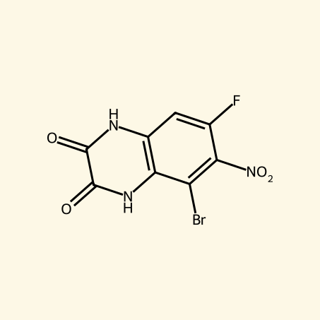 O=c1[nH]c2cc(F)c([N+](=O)[O-])c(Br)c2[nH]c1=O